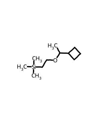 CC(OCC[Si](C)(C)C)C1CCC1